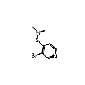 CN(C)Sc1ccncc1Br